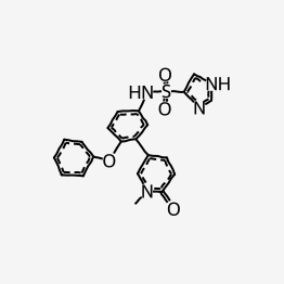 Cn1cc(-c2cc(NS(=O)(=O)c3c[nH]cn3)ccc2Oc2ccccc2)ccc1=O